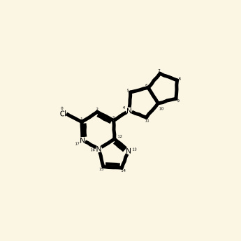 Clc1cc(N2CC3CCCC3C2)c2nccn2n1